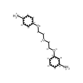 Nc1ccc(OCCOCCOc2cccc(N)c2)cc1